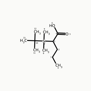 CCCC(C(=O)O)[Si](C)(C)C(C)(C)C